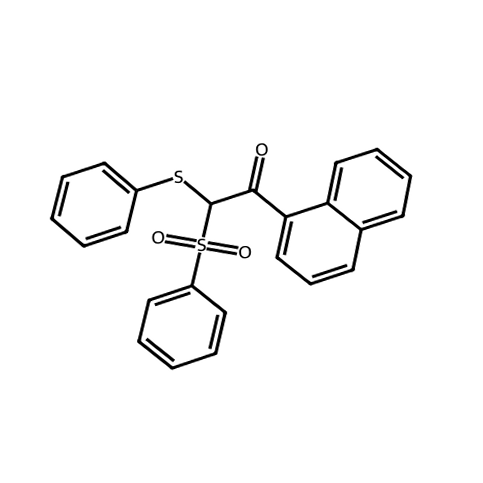 O=C(c1cccc2ccccc12)C(Sc1ccccc1)S(=O)(=O)c1ccccc1